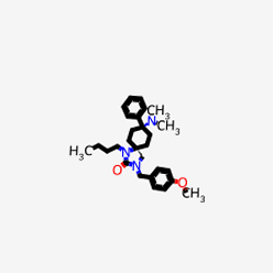 CCCCN1C(=O)N(Cc2ccc(OC)cc2)C[C@]12CC[C@](c1ccccc1)(N(C)C)CC2